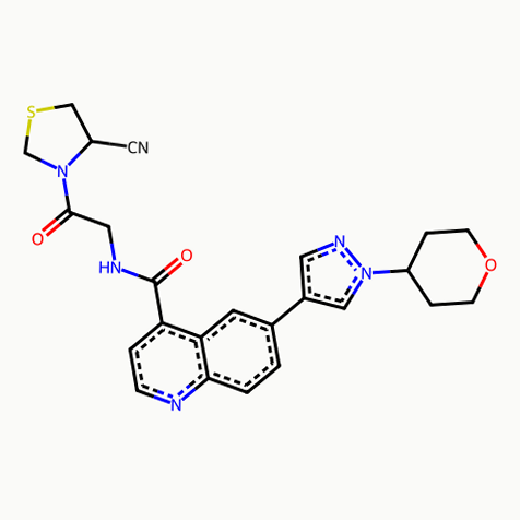 N#CC1CSCN1C(=O)CNC(=O)c1ccnc2ccc(-c3cnn(C4CCOCC4)c3)cc12